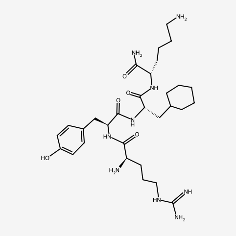 N=C(N)NCCC[C@@H](N)C(=O)N[C@@H](Cc1ccc(O)cc1)C(=O)N[C@@H](CC1CCCCC1)C(=O)N[C@@H](CCCCN)C(N)=O